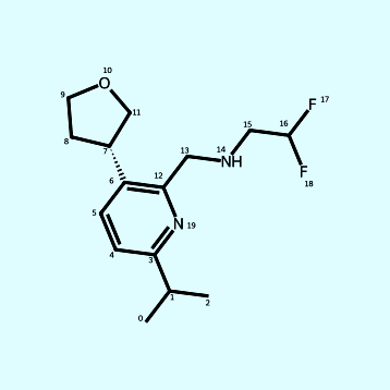 CC(C)c1ccc([C@@H]2CCOC2)c(CNCC(F)F)n1